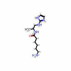 CC(CNc1ncc[nH]1)NC(=O)CCCCCN